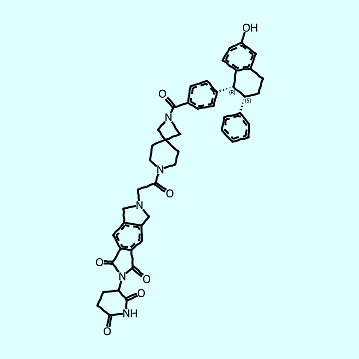 O=C1CCC(N2C(=O)c3cc4c(cc3C2=O)CN(CC(=O)N2CCC3(CC2)CN(C(=O)c2ccc([C@@H]5c6ccc(O)cc6CC[C@@H]5c5ccccc5)cc2)C3)C4)C(=O)N1